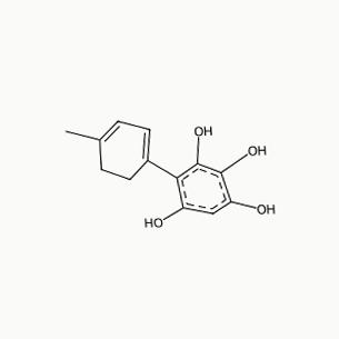 CC1=CC=C(c2c(O)cc(O)c(O)c2O)CC1